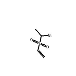 C=CS(=O)(=O)C(C)CC